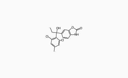 [CH2]CC(O)(c1ccc2[nH]c(=O)oc2c1)c1c(Cl)cc([CH2])cc1Cl